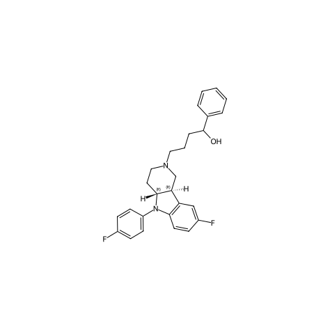 OC(CCCN1CC[C@@H]2[C@@H](C1)c1cc(F)ccc1N2c1ccc(F)cc1)c1ccccc1